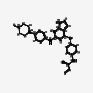 C=CC(=O)Nc1ccc(Oc2nc(Nc3ccc(N4CCN(C)CC4)cc3)nc3[nH]ncc23)cc1